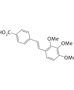 COc1ccc(C=Cc2ccc(C(=O)O)cc2)c(OC)c1OC